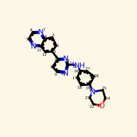 c1cc(-c2ccc3nccnc3c2)nc(Nc2ccc(N3CCOCC3)cc2)n1